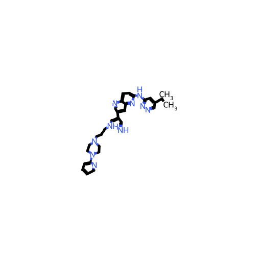 CC(C)c1cnnc(Nc2ccc3ncc(/C(C=N)=C/NCCCN4CCN(c5ccccn5)CC4)cc3n2)c1